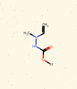 C=CN(C)NC(=O)OCC